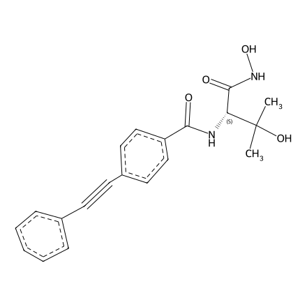 CC(C)(O)[C@H](NC(=O)c1ccc(C#Cc2ccccc2)cc1)C(=O)NO